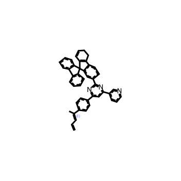 C=C/C=C(\C)c1ccc(-c2cc(-c3cccnc3)nc(-c3ccc4c(c3)C3(C5=C4CCC=C5)c4ccccc4-c4ccccc43)n2)cc1